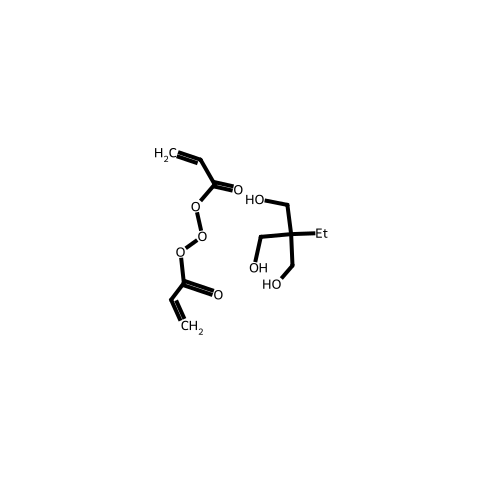 C=CC(=O)OOOC(=O)C=C.CCC(CO)(CO)CO